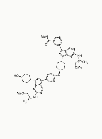 CNC(=O)c1cncc(-c2cc([C@H]3CC[C@H](Oc4ccc(-c5cc([C@H]6CC[C@H](O)CC6)n6nc(N[C@@H](C)COC)ncc56)cn4)CC3)n3nc(N[C@@H](C)COC)ncc23)c1